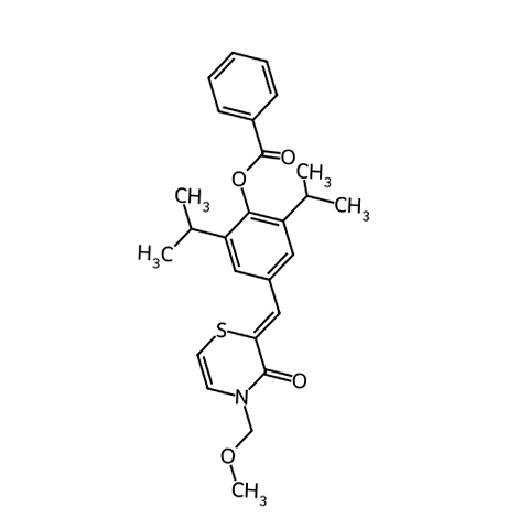 COCN1C=CS/C(=C\c2cc(C(C)C)c(OC(=O)c3ccccc3)c(C(C)C)c2)C1=O